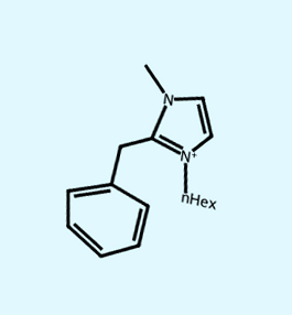 CCCCCC[n+]1ccn(C)c1Cc1ccccc1